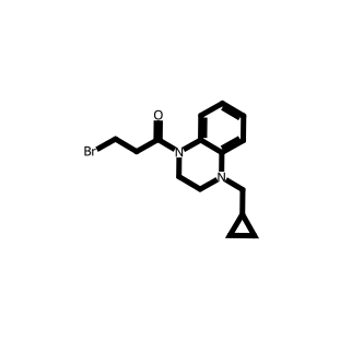 O=C(CCBr)N1CCN(CC2CC2)c2ccccc21